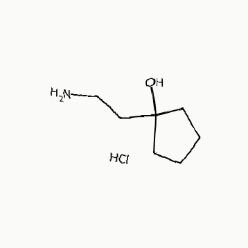 Cl.NCCC1(O)CCCC1